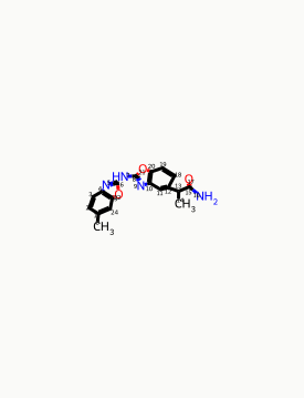 Cc1ccc2nc(Nc3nc4cc(C(C)C(N)=O)ccc4o3)oc2c1